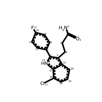 NC(=O)CCc1c(-c2ccc(F)cc2)[nH]c2c(Cl)cccc12